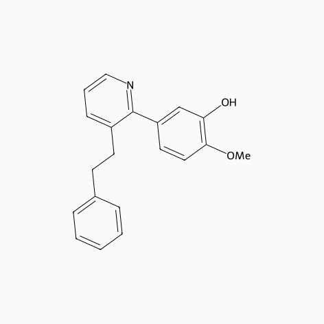 COc1ccc(-c2ncccc2CCc2ccccc2)cc1O